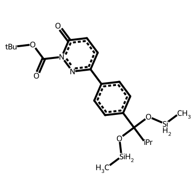 C[SiH2]OC(O[SiH2]C)(c1ccc(-c2ccc(=O)n(C(=O)OC(C)(C)C)n2)cc1)C(C)C